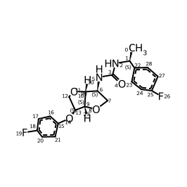 C[C@H](NC(=O)N[C@H]1CO[C@H]2[C@@H]1OC[C@@H]2Oc1ccc(F)cc1)c1ccc(F)cc1